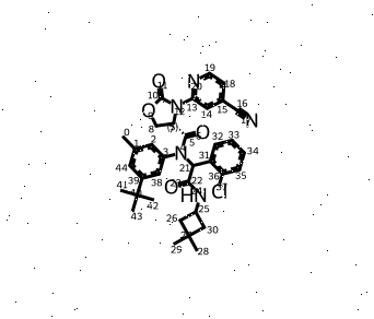 Cc1cc(N(C(=O)[C@@H]2COC(=O)N2c2cc(C#N)ccn2)C(C(=O)NC2CC(C)(C)C2)c2ccccc2Cl)cc(C(C)(C)C)c1